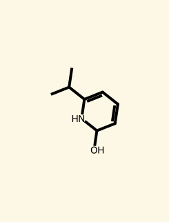 CC(C)C1=CC=CC(O)N1